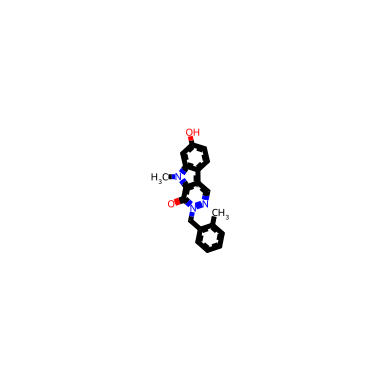 Cc1ccccc1Cn1ncc2c3ccc(O)cc3n(C)c2c1=O